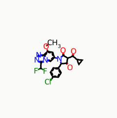 COc1cc(N2C(=O)C(C(=O)C3CC3)C(=O)C2c2ccc(Cl)cc2)cn2c(C(F)F)nnc12